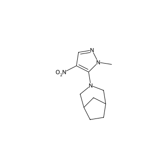 Cn1ncc([N+](=O)[O-])c1N1CC2CCC(C2)C1